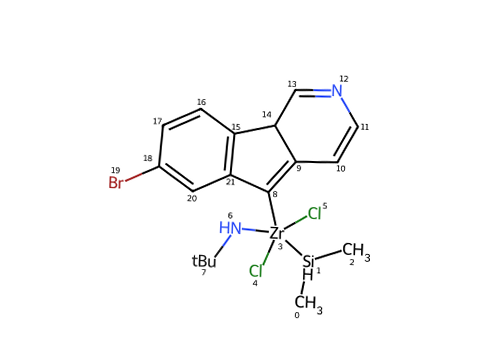 C[SiH](C)[Zr]([Cl])([Cl])([NH]C(C)(C)C)[C]1=C2C=CN=CC2c2ccc(Br)cc21